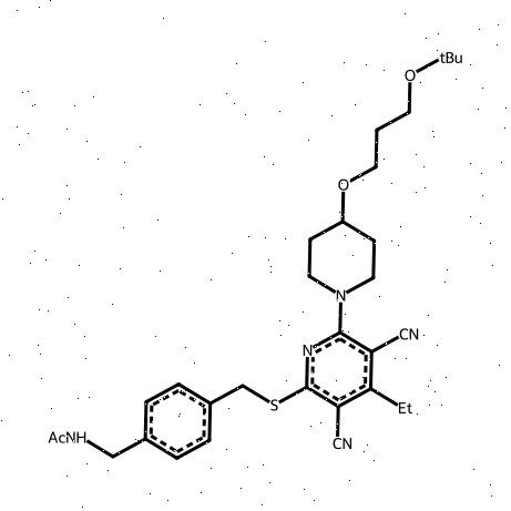 CCc1c(C#N)c(SCc2ccc(CNC(C)=O)cc2)nc(N2CCC(OCCCOC(C)(C)C)CC2)c1C#N